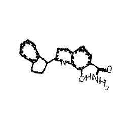 NC(=O)c1ccc2ccc(C3CCc4ccccc43)nc2c1O